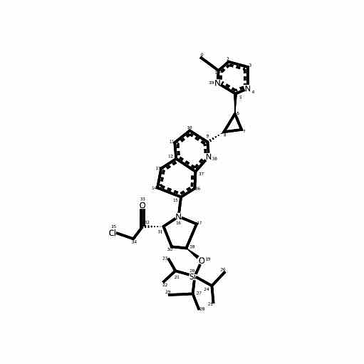 Cc1ccnc([C@H]2C[C@@H]2c2ccc3ccc(N4C[C@@H](O[Si](C(C)C)(C(C)C)C(C)C)C[C@@H]4C(=O)CCl)cc3n2)n1